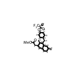 COC(=O)Cc1cc2ccc(F)cc2c(Cc2ccc(OS(=O)(=O)C(F)(F)F)cc2)c1C